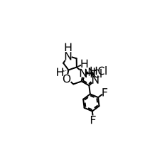 Cl.Cl.Fc1ccc(-c2nnn3c2CO[C@H]2CNC[C@@H]23)c(F)c1